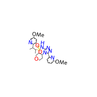 COc1ccc(C(C)C(C)S(=O)(=O)Nc2nnc(-c3cccc(OC)n3)n2C2CCOCC2)nc1